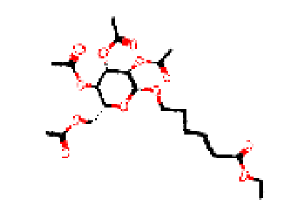 CCOC(=O)CCCCCO[C@H]1O[C@H](COC(C)=O)[C@@H](OC(C)=O)[C@H](OC(C)=O)[C@H]1OC(C)=O